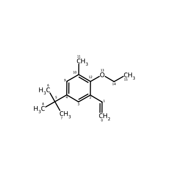 C=Cc1cc(C(C)(C)C)cc(C)c1OCC